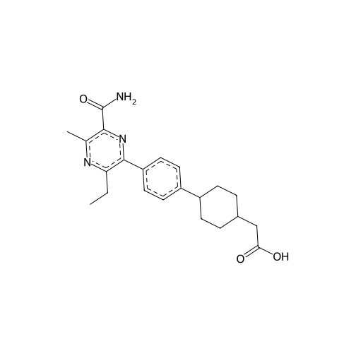 CCc1nc(C)c(C(N)=O)nc1-c1ccc(C2CCC(CC(=O)O)CC2)cc1